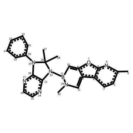 Cc1ccc2c3c(oc2n1)=CB(N1c2nccnc2N(c2ccccc2)C1(C)C)N(C)C=3